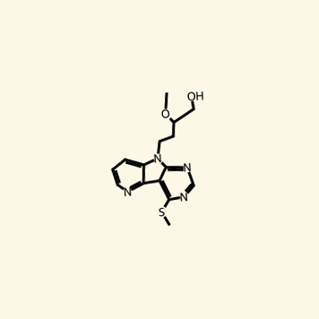 COC(CO)CCn1c2cccnc2c2c(SC)ncnc21